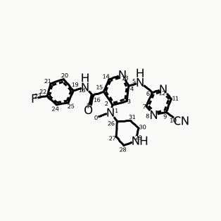 CN(c1cc(Nc2cnc(C#N)cn2)ncc1C(=O)Nc1ccc(F)cc1)C1CCNCC1